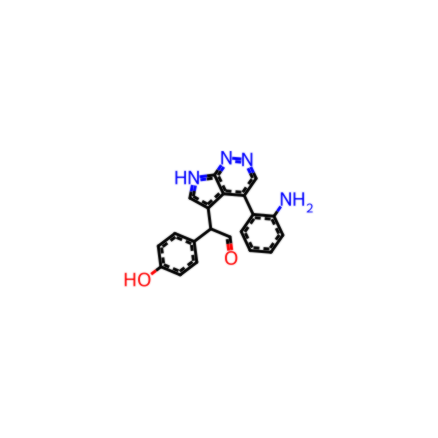 Nc1ccccc1-c1cnnc2[nH]cc(C(C=O)c3ccc(O)cc3)c12